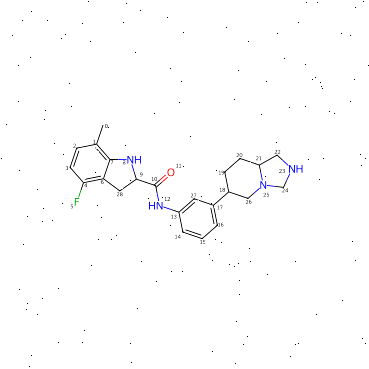 Cc1ccc(F)c2c1NC(C(=O)Nc1cccc(C3CCC4CNCN4C3)c1)C2